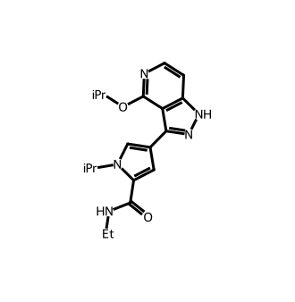 CCNC(=O)c1cc(-c2n[nH]c3ccnc(OC(C)C)c23)cn1C(C)C